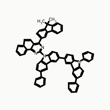 CC1(C)c2ccccc2-c2cc(-c3nc(-n4c5ccc(-c6ccccc6)cc5c5cc(-c6ccc7c(c6)c6cc(-c8ccccc8)ccc6n7-c6ccccc6)ccc54)nc4c3ccc3ccccc34)ccc21